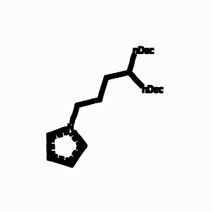 CCCCCCCCCCC(CCCCCCCCCC)CCCn1cccc1